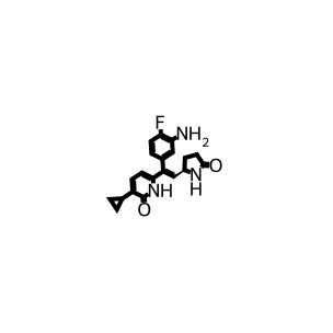 Nc1cc(/C(=C\[C@H]2CCC(=O)N2)c2ccc(C3CC3)c(=O)[nH]2)ccc1F